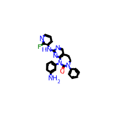 Nc1cccc(N2C(=O)N(c3ccccc3)CCc3cnc(Nc4cccnc4F)nc32)c1